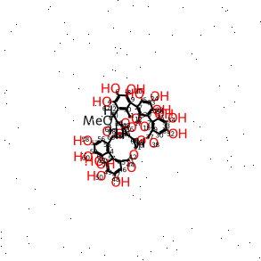 CO[C@@H]1c2c(O)c(O)c(O)c3c2C(=O)O[C@@H]1[C@@H]1OC(=O)c2c(c(O)c(O)c(O)c2-3)-c2c(cc(O)c(O)c2O)C(=O)O[C@H]2COC(=O)c3cc(O)c(O)c(O)c3-c3c(cc(O)c(O)c3O)C(=O)O[C@H]12